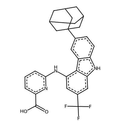 O=C(O)c1cccc(Nc2cc(C(F)(F)F)cc3[nH]c4ccc(C56CC7CC(CC(C7)C5)C6)cc4c23)n1